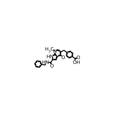 Cn1cc(Cc2ccc(C(=O)O)cc2)c(=O)c2cc(C(=O)NCc3ccccc3)[nH]c21